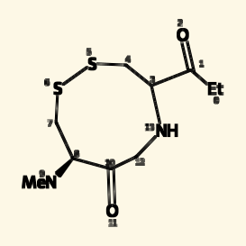 CCC(=O)C1CSSC[C@H](NC)C(=O)CN1